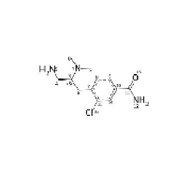 CN(C)[C@H](CN)Cc1ccc(C(N)=O)cc1Cl